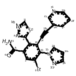 CCc1cc(C(N)=O)c(-c2nncs2)c(C#Cc2cccnc2)c1-n1cccn1